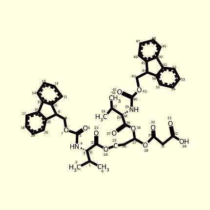 CC(C)[C@H](NC(=O)OCC1c2ccccc2-c2ccccc21)C(=O)OCCC(OC(=O)CC(=O)O)OC(=O)[C@@H](NC(=O)OCC1c2ccccc2-c2ccccc21)C(C)C